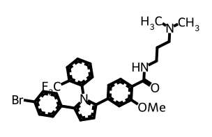 COc1cc(-c2ccc(-c3ccc(Br)cc3)n2-c2ccccc2C(F)(F)F)ccc1C(=O)NCCCN(C)C